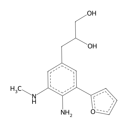 CNc1cc(CC(O)CO)cc(-c2ccco2)c1N